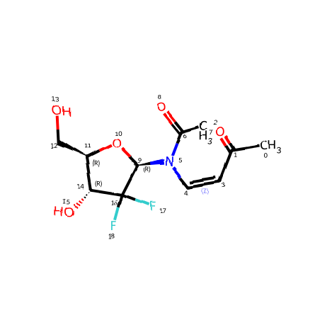 CC(=O)/C=C\N(C(C)=O)[C@@H]1O[C@H](CO)[C@@H](O)C1(F)F